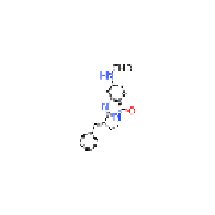 O=CNc1ccc2c(=O)n3c(nc2c1)C(=Cc1ccccc1)CC3